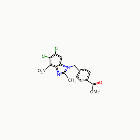 COC(=O)c1ccc(Cn2c(C)nc3c([N+](=O)[O-])c(Cl)c(Cl)cc32)cc1